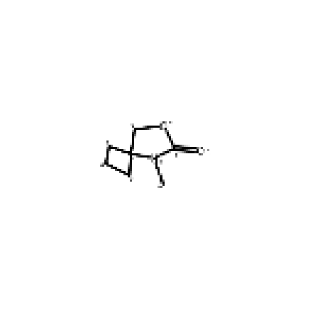 CN1C(=O)OCC12CCC2